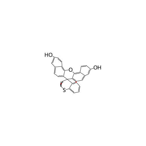 Oc1ccc2c3c(ccc2c1)C1(c2ccccc2Sc2ccccc21)c1ccc2cc(O)ccc2c1O3